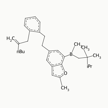 C=C(CCCC)Cc1ccccc1CCc1cc(B(C)CC(C)(C)C(C)C)c2oc(C)cc2c1